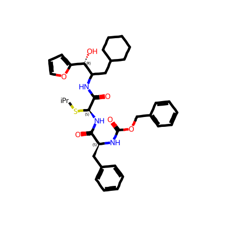 CC(C)S[C@H](NC(=O)[C@H](Cc1ccccc1)NC(=O)OCc1ccccc1)C(=O)NC(CC1CCCCC1)[C@@H](O)c1ccco1